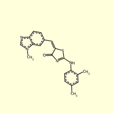 Cc1ccc(NC2=NC(=O)C(=Cc3ccc4ncn(C)c4c3)S2)c(C)c1